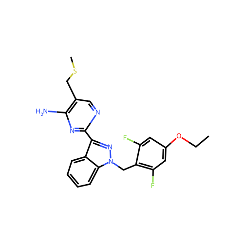 CCOc1cc(F)c(Cn2nc(-c3ncc(CSC)c(N)n3)c3ccccc32)c(F)c1